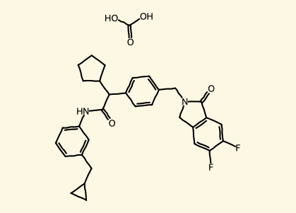 O=C(Nc1cccc(CC2CC2)c1)C(c1ccc(CN2Cc3cc(F)c(F)cc3C2=O)cc1)C1CCCC1.O=C(O)O